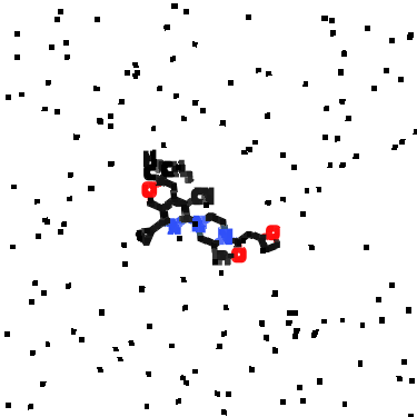 CC(C)C1CN(c2nc(C3CC3)c3c(c2C#N)CC(C)(C)OC3)CCN1C(=O)CC1CCO1